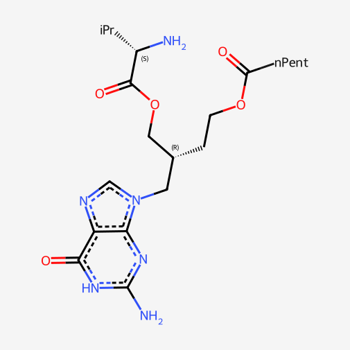 CCCCCC(=O)OCC[C@@H](COC(=O)[C@@H](N)C(C)C)Cn1cnc2c(=O)[nH]c(N)nc21